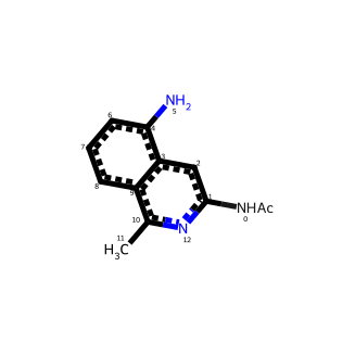 CC(=O)Nc1cc2c(N)cccc2c(C)n1